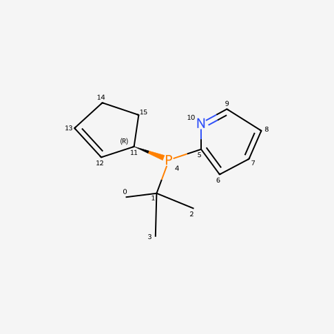 CC(C)(C)P(c1ccccn1)[C@H]1C=CCC1